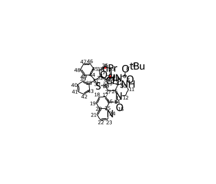 CCCOCCC1(NC(=O)OC(C)(C)C)NCCN(C(=O)c2cccc3cccnc23)C1C[C@H](C)SC(c1ccccc1)(c1ccccc1)c1ccccc1